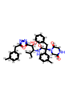 [CH2]c1cccc(C(Cc2ccccc2)(C(=O)N[C@@H](C(C)C)C(O)c2nnc(Cc3cccc(C)c3)o2)N2CC(=O)NCC2=O)c1